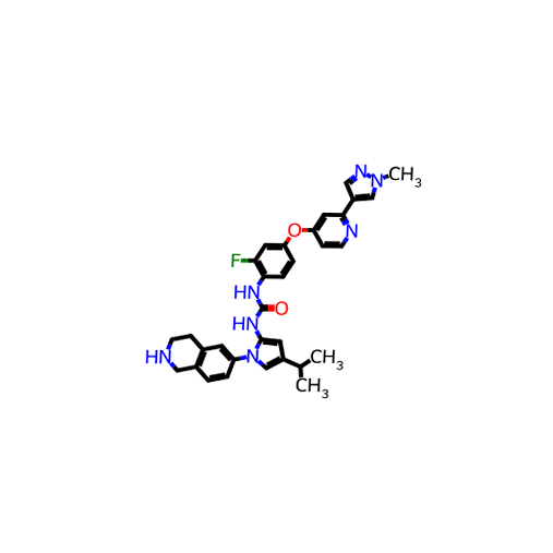 CC(C)c1cc(NC(=O)Nc2ccc(Oc3ccnc(-c4cnn(C)c4)c3)cc2F)n(-c2ccc3c(c2)CCNC3)c1